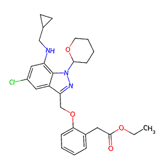 CCOC(=O)Cc1ccccc1OCc1nn(C2CCCCO2)c2c(NCC3CC3)cc(Cl)cc12